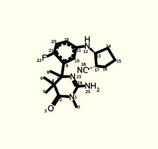 CN1C(=O)C(C)(C)C(C)(c2cc(N[C@H]3CCC[C@@H]3C#N)ccc2F)N=C1N